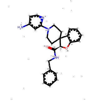 Nc1ccnc(N2CCC3(CC2)c2ccccc2O[C@H]3C(=O)NCc2ccccc2)c1